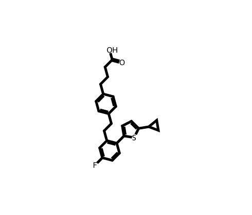 O=C(O)CCCc1ccc(CCc2cc(F)ccc2-c2ccc(C3CC3)s2)cc1